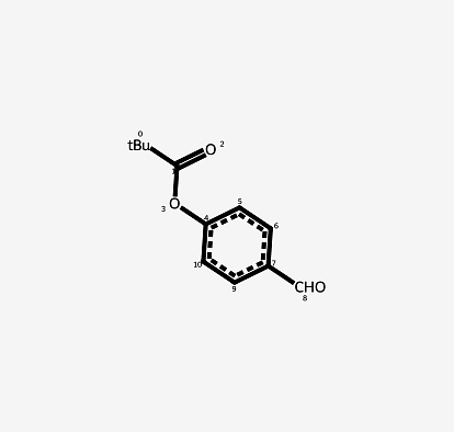 CC(C)(C)C(=O)Oc1ccc(C=O)cc1